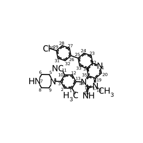 Cc1cc(N2CCNCC2)c(C#N)cc1-n1c(=N)n(C)c2cnc3ccc(-c4ccc(Cl)cc4)cc3c21